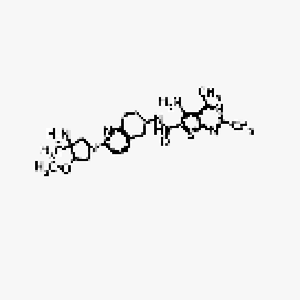 COC1CN(c2ccc3c(n2)CCC(NC(=O)c2sc4nc(C)nc(C)c4c2N)C3)CC1(C)N